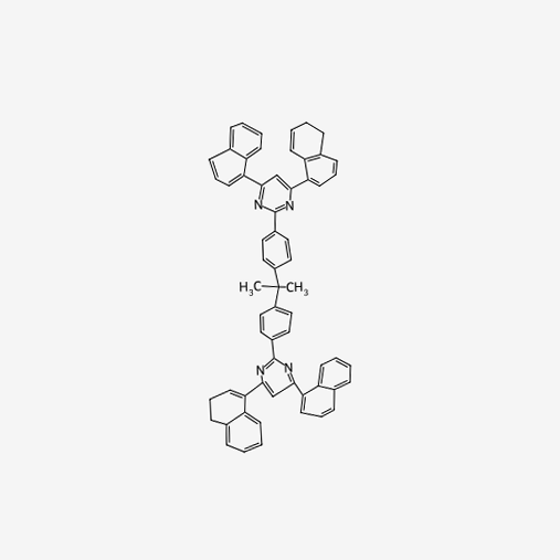 CC(C)(c1ccc(-c2nc(C3=CCCc4ccccc43)cc(-c3cccc4ccccc34)n2)cc1)c1ccc(-c2nc(-c3cccc4c3C=CCC4)cc(-c3cccc4ccccc34)n2)cc1